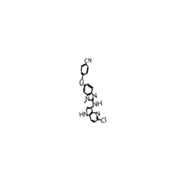 Cn1c(Nc2c[nH]c3ccc(Cl)nc23)nc2ccc(Oc3ccc(C#N)cc3)cc21